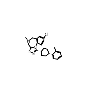 Cc1ccccc1[C@H]1CC[C@@H](c2nnc3n2-c2ccc(Cl)cc2CN(C)C3)CC1